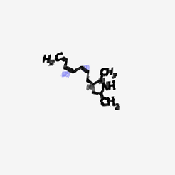 C=C/C=C\C=C/C[C@@H]1CC(=C)N[C@@H]1C